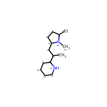 CCC1CCC(CC(C)C2CCCCN2)N1C